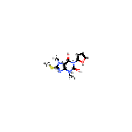 CSc1nc2c(c(=O)n(-c3ccco3)c(=O)n2C)n1C